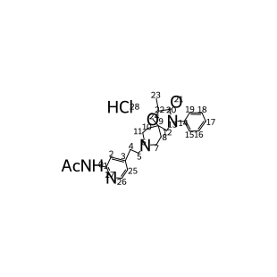 CC(=O)Nc1cc(CCN2CCC3(CC2)CN(c2ccccc2)C(=O)C(C)O3)ccn1.Cl